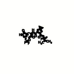 CC(C)C(F)(F)CC(=O)N1CC2(CC2)C[C@H]1C(=O)N[C@@H](C[C@@H]1CCNC1=O)C(=O)COC(F)(F)F